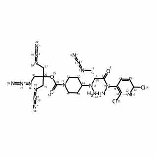 [N-]=[N+]=NC[C@H](C(=O)N(N)C1=C(Cl)NC(Cl)C=C1)N(N)C1CCN(C(=O)OC(CN=[N+]=[N-])(CN=[N+]=[N-])CN=[N+]=[N-])CC1